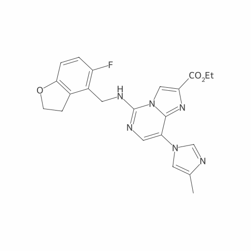 CCOC(=O)c1cn2c(NCc3c(F)ccc4c3CCO4)ncc(-n3cnc(C)c3)c2n1